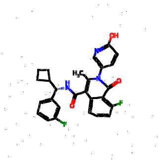 Cc1c(C(=O)N[C@H](c2cccc(F)c2)C2CCC2)c2cccc(F)c2c(=O)n1-c1ccc(O)nc1